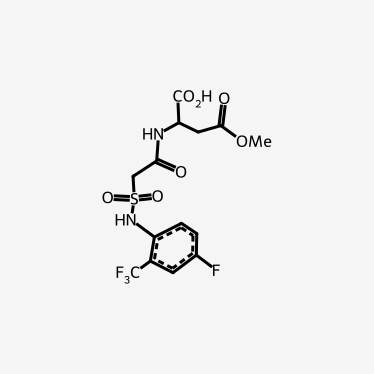 COC(=O)CC(NC(=O)CS(=O)(=O)Nc1ccc(F)cc1C(F)(F)F)C(=O)O